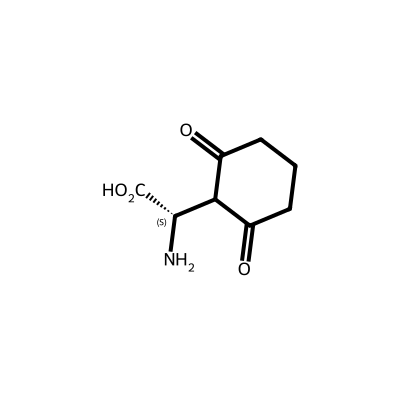 N[C@H](C(=O)O)C1C(=O)CCCC1=O